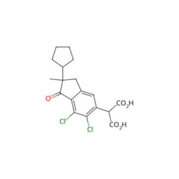 CC1(C2CCCC2)Cc2cc(C(C(=O)O)C(=O)O)c(Cl)c(Cl)c2C1=O